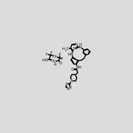 Cc1cnc2nc1Nc1ccc(NC(=O)CC3CCN(c4nncs4)CC3)c(c1)CCc1cccc(c1)N2.O=C(O)C(F)(F)F.O=C(O)C(F)(F)F